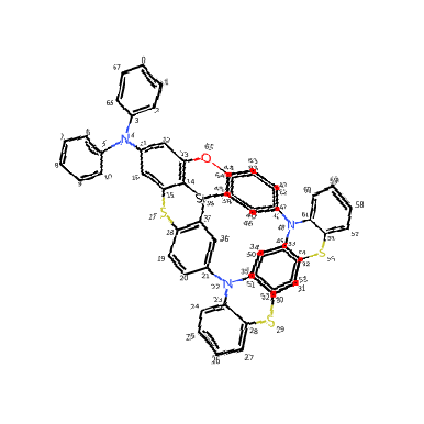 c1ccc(N(c2ccccc2)c2cc3c4c(c2)Sc2ccc(N5c6ccccc6Sc6ccccc65)cc2[Si]4(c2ccccc2)c2cc(N4c5ccccc5Sc5ccccc54)ccc2O3)cc1